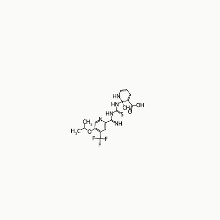 CC(C)Oc1cnc(C(=N)NC(=S)NC2(C)NC=CC=C2C(=O)O)cc1C(F)(F)F